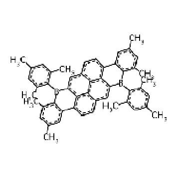 Cc1cc(C)c(B2c3c(C)cc(C)cc3-c3ccc4cc5c6c(ccc7cc2c3c4c76)-c2cc(C)cc(C)c2B5c2c(C)cc(C)cc2C)c(C)c1